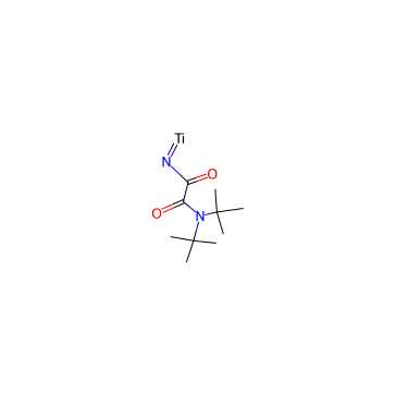 CC(C)(C)N(C(=O)C(=O)[N]=[Ti])C(C)(C)C